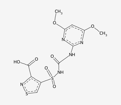 COc1cc(OC)nc(NC(=O)NS(=O)(=O)c2csnc2C(=O)O)n1